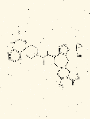 Cc1cc2c(c3cn[nH]c13)Cn1c(C3(C)CC3)cnc1[C@H](NC(=O)N1CCC3(CC1)OC(=O)Nc1nccnc13)C2